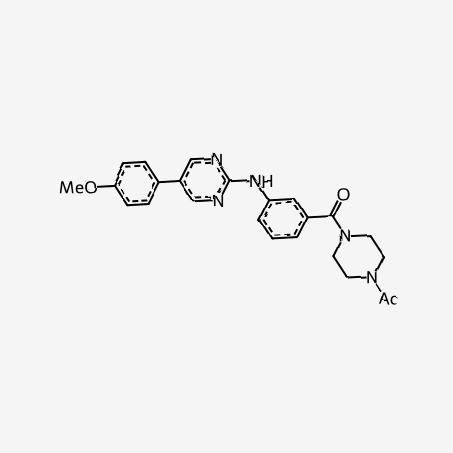 COc1ccc(-c2cnc(Nc3cccc(C(=O)N4CCN(C(C)=O)CC4)c3)nc2)cc1